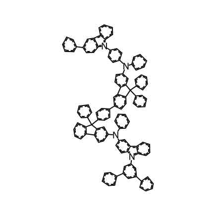 c1ccc(-c2cc(-c3ccccc3)cc(-n3c4ccccc4c4cc(N(c5ccccc5)c5ccc6c(c5)C(c5ccccc5)(c5ccc(-c7ccc8c(c7)-c7ccc(N(c9ccccc9)c9ccc(-n%10c%11ccccc%11c%11cc(-c%12ccccc%12)ccc%11%10)cc9)cc7C8(c7ccccc7)c7ccccc7)cc5)c5ccccc5-6)ccc43)c2)cc1